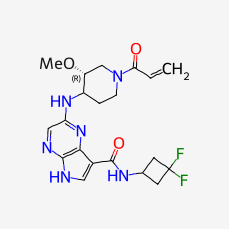 C=CC(=O)N1CCC(Nc2cnc3[nH]cc(C(=O)NC4CC(F)(F)C4)c3n2)[C@H](OC)C1